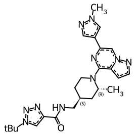 C[C@@H]1C[C@@H](CNC(=O)c2cn(C(C)(C)C)nn2)CCN1c1nc(-c2cnn(C)c2)cn2nccc12